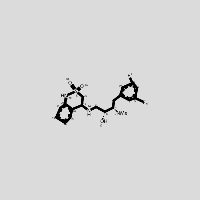 CN[C@@H](Cc1cc(F)cc(F)c1)[C@H](O)CNC1CS(=O)(=O)Nc2ccccc21